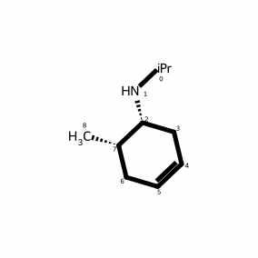 CC(C)N[C@@H]1CC=CC[C@@H]1C